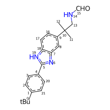 CC(C)(C)c1ccc(-c2nc3cc(C(C)(C)CNC=O)ccc3[nH]2)cc1